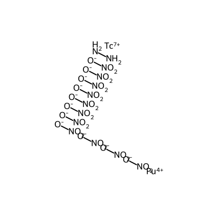 NN.O=[N+]([O-])[O-].O=[N+]([O-])[O-].O=[N+]([O-])[O-].O=[N+]([O-])[O-].O=[N+]([O-])[O-].O=[N+]([O-])[O-].O=[N+]([O-])[O-].O=[N+]([O-])[O-].O=[N+]([O-])[O-].O=[N+]([O-])[O-].O=[N+]([O-])[O-].[Pu+4].[Tc+7]